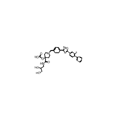 O=C(O)OC1(C(=O)NCC(O)CO)CCN(Cc2ccc(-c3noc(-c4ccc(-c5ccccc5)c(F)c4)n3)cc2)CC1